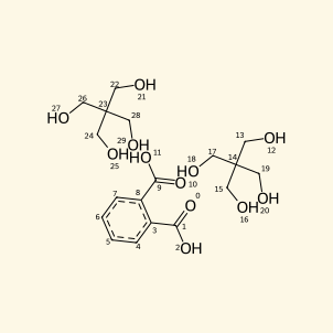 O=C(O)c1ccccc1C(=O)O.OCC(CO)(CO)CO.OCC(CO)(CO)CO